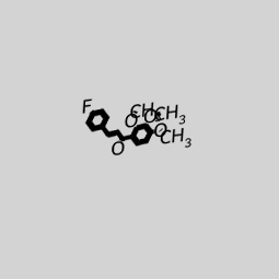 COc1ccc(C(=O)C=Cc2ccc(F)cc2)c(OC)c1OC